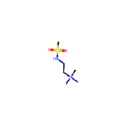 C[N+](C)(C)CCNS(C)(=O)=O